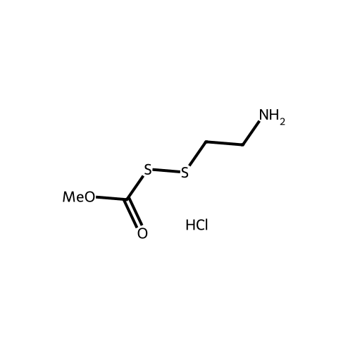 COC(=O)SSCCN.Cl